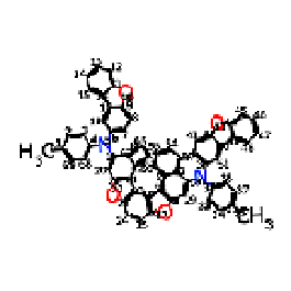 Cc1ccc(N(c2ccc3oc4ccccc4c3c2)c2cc3oc4ccc5oc6cc(N(c7ccc(C)cc7)c7ccc8oc9ccccc9c8c7)c7ccccc7c6c5c4c3c3ccccc23)cc1